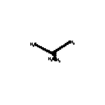 CCCCCC=CCC=CCCCCCCCCC1CC(CCCCCCCC=CCC=CCCCCC)OC(CCCN(C)C)O1